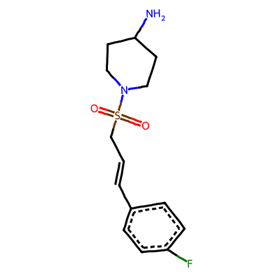 NC1CCN(S(=O)(=O)CC=Cc2ccc(F)cc2)CC1